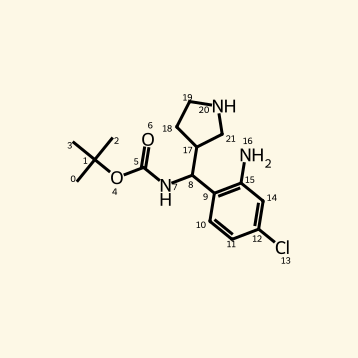 CC(C)(C)OC(=O)NC(c1ccc(Cl)cc1N)C1CCNC1